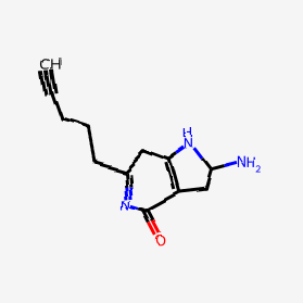 C#CCCCC1=NC(=O)C2=C(C1)NC(N)C2